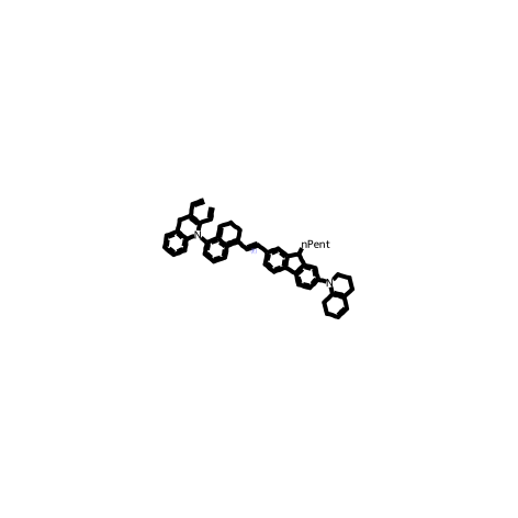 C=CC1=C(C=C)N(c2cccc3c2=CCCC=3/C=C/c2ccc3c(c2)C(CCCCC)c2cc(N4CCCC5=C4CCC=C5)ccc2-3)c2ccccc2C1